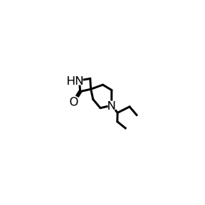 CCC(CC)N1CCC2(CC1)CNC2=O